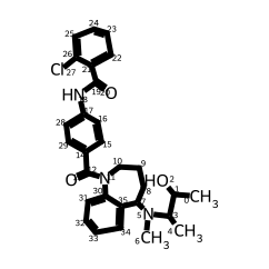 CC(O)C(C)N(C)C1CCCN(C(=O)c2ccc(NC(=O)c3ccccc3Cl)cc2)c2ccccc21